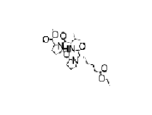 CCOC(=O)/C=C/CC[C@@H](C(=O)N[C@H](C(=O)N1CCC[C@H]1C(=O)OC)C(C)C)N1CCCC1=O